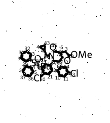 COC(=O)C[C@@]1(C)C[C@H](c2cccc(Cl)c2)[C@@H](c2ccc(Cl)cc2)N([C@H](CO[Si](c2ccccc2)(c2ccccc2)C(C)(C)C)C2CC2)C1=O